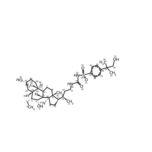 CC[C@H]1[C@@H](O)[C@@H]2[C@H](CC[C@]3(C)[C@@H]([C@H](C)CCNC(=O)NS(=O)(=O)c4ccc(C(C)(C)CO)cc4)CC[C@@H]23)[C@@]2(C)CC[C@@H](O)C[C@@H]12